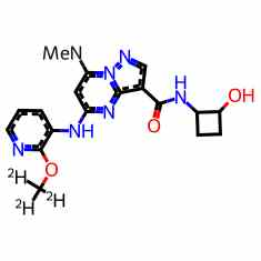 [2H]C([2H])([2H])Oc1ncccc1Nc1cc(NC)n2ncc(C(=O)NC3CCC3O)c2n1